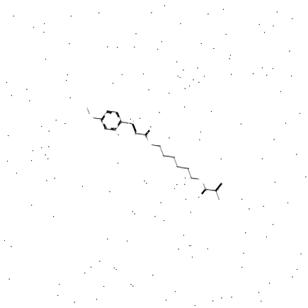 C=C(C)C(=O)OCCCCCCOC(=O)/C=C/c1ccc(OC)cc1